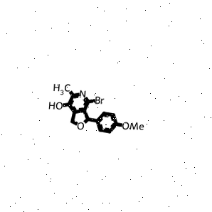 COc1ccc(C2OCc3c(O)c(C)nc(Br)c32)cc1